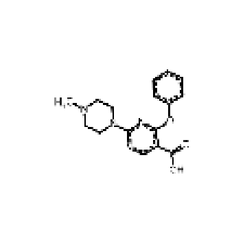 CN1CCN(c2ncc(C(=O)O)c(Oc3ccccc3)n2)CC1